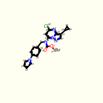 CC(C)(C)OC(=O)N(Cc1ccc(-n2cccc2)cc1)c1cc(Cl)nc2c(C3CC3)cnn12